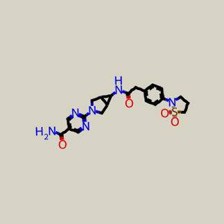 NC(=O)c1cnc(N2CC3C(C2)C3NC(=O)Cc2ccc(N3CCCS3(=O)=O)cc2)nc1